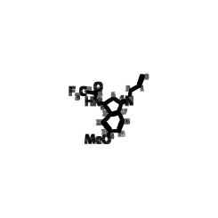 C=CCN=C1CC(NC(=O)C(F)(F)F)c2cc(OC)ccc21